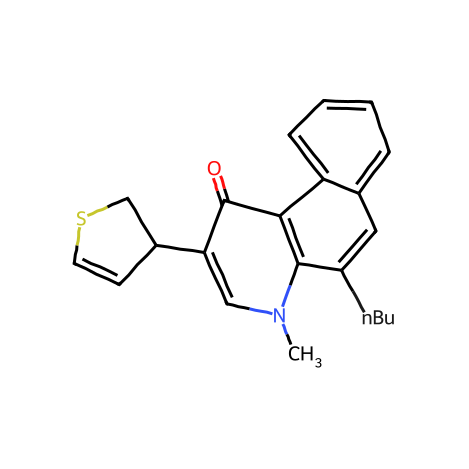 CCCCc1cc2ccccc2c2c(=O)c(C3C=CSC3)cn(C)c12